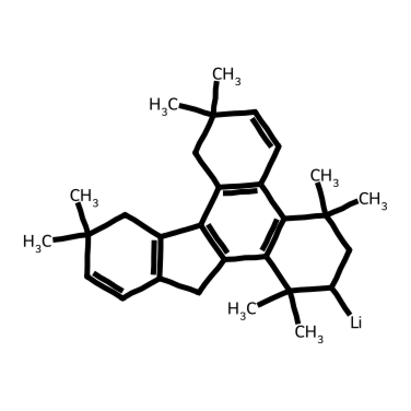 [Li][CH]1CC(C)(C)c2c3c(c4c(c2C1(C)C)CC1=C4CC(C)(C)C=C1)CC(C)(C)C=C3